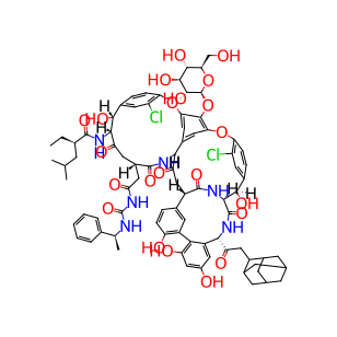 CC[C@H](CC(C)C)C(=O)N[C@H]1C(=O)C[C@@H](CC(=O)NC(=O)N[C@@H](C)c2ccccc2)C(=O)N[C@H]2C(=O)C[C@@H]3C(=O)N[C@H](C(=O)N[C@H](C(=O)CC4C5CC6CC(C5)CC4C6)c4cc(O)cc(O)c4-c4cc3ccc4O)[C@H](O)c3ccc(c(Cl)c3)Oc3cc2cc(c3O[C@@H]2O[C@H](CO)[C@@H](O)[C@H](O)[C@H]2O)Oc2ccc(cc2Cl)[C@H]1O